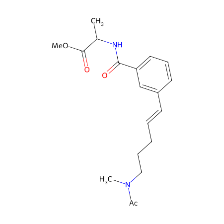 COC(=O)C(C)NC(=O)c1cccc(C=CCCCN(C)C(C)=O)c1